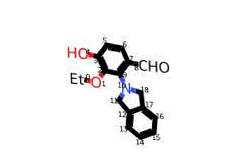 CCOc1c(O)ccc(C=O)c1N1Cc2ccccc2C1